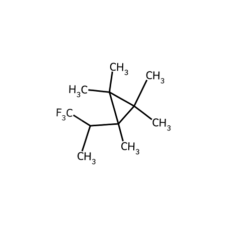 CC(C(F)(F)F)C1(C)C(C)(C)C1(C)C